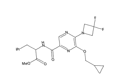 COC(=O)C(CC(C)C)NC(=O)c1cnc(N2CC(F)(F)C2)c(OCC2CC2)n1